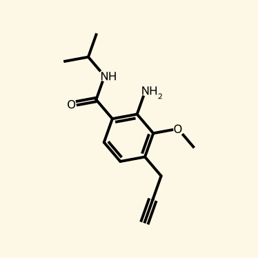 C#CCc1ccc(C(=O)NC(C)C)c(N)c1OC